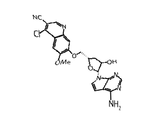 COc1cc2c(Cl)c(C#N)cnc2cc1OC[C@@H]1C[C@@H](O)[C@H](n2ccc3c(N)ncnc32)O1